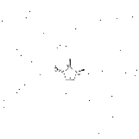 C[C@@H]1C(=O)CC[C@@H]1C